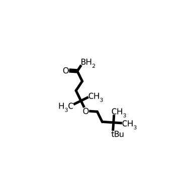 BC(=O)CCC(C)(C)OCCC(C)(C)C(C)(C)C